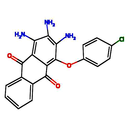 Nc1c(N)c(Oc2ccc(Cl)cc2)c2c(c1N)C(=O)c1ccccc1C2=O